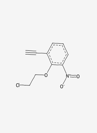 C#Cc1cccc([N+](=O)[O-])c1OCCCl